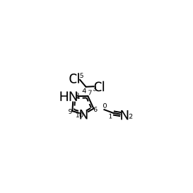 CC#N.ClCCl.c1c[nH]cn1